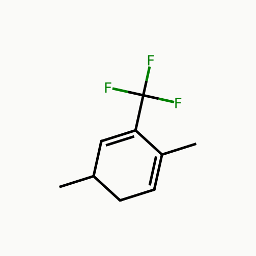 CC1=CCC(C)C=C1C(F)(F)F